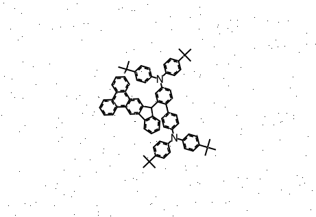 CC(C)(C)c1ccc(N(c2ccc(-c3ccc(N(c4ccc(C(C)(C)C)cc4)c4ccc(C(C)(C)C)cc4)cc3C3c4ccccc4-c4cc5c6ccccc6c6ccccc6c5cc43)cc2)c2ccc(C(C)(C)C)cc2)cc1